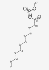 CCCCCCCCCCCC(=O)O[PH](=O)OC